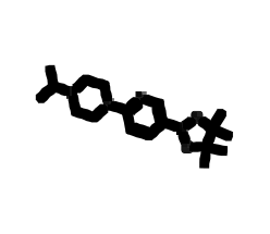 CC(C)N1CCN(c2ccc(B3OC(C)(C)C(C)(C)O3)cn2)CC1